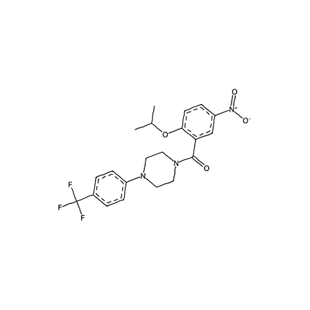 CC(C)Oc1ccc([N+](=O)[O-])cc1C(=O)N1CCN(c2ccc(C(F)(F)F)cc2)CC1